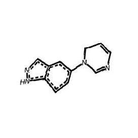 C1=CN=CN(c2ccc3[nH]ncc3c2)C1